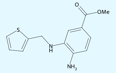 COC(=O)c1ccc(N)c(NCc2cccs2)c1